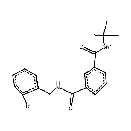 CC(C)(C)NC(=O)c1cccc(C(=O)NCc2ccccc2O)c1